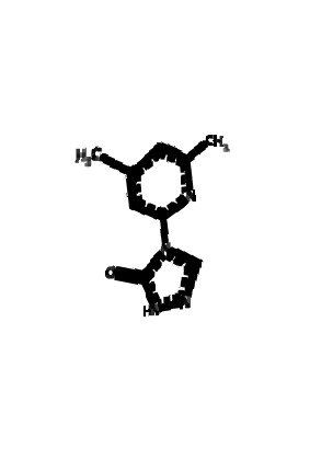 Cc1cc(C)nc(-n2cn[nH]c2=O)c1